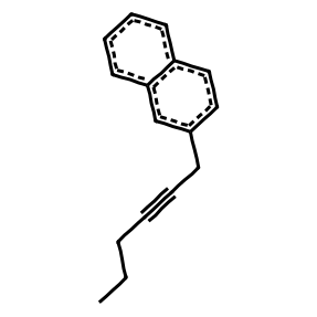 CCCC#CCc1ccc2ccccc2c1